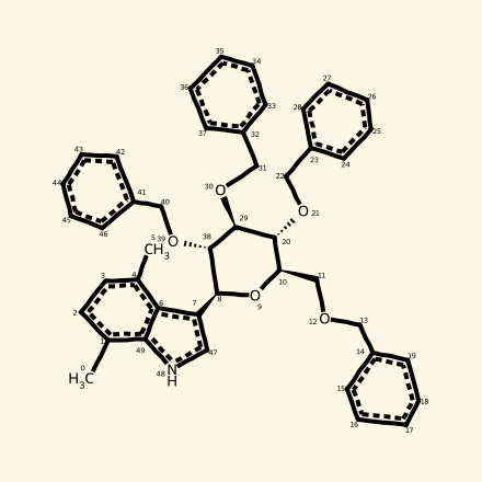 Cc1ccc(C)c2c([C@@H]3O[C@H](COCc4ccccc4)[C@@H](OCc4ccccc4)[C@H](OCc4ccccc4)[C@H]3OCc3ccccc3)c[nH]c12